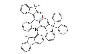 CC1(C)c2ccccc2-c2c(-c3ccccc3N(c3cccc4c3-c3ccccc3C4(C3=CCCC=C3)c3ccccc3)c3cccc4c3C(C)(C)c3ccccc3-4)cccc21